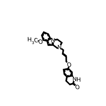 COc1cccc2c1cc1n2CCN(C/C=C/COc2ccc3c(c2)NC(=O)CC3)C1